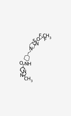 Cc1cn2cc(C(=O)N[C@H]3CC[C@H](CCN4CCc5sc(OCC(C)(F)F)nc5C4)CC3)ccc2n1